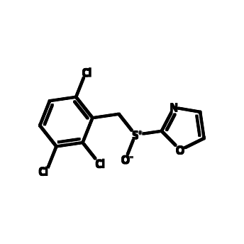 [O-][S+](Cc1c(Cl)ccc(Cl)c1Cl)c1ncco1